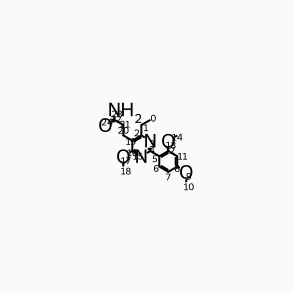 CCc1nc(-c2ccc(OC)cc2OC)nc(OC)c1CCC(N)=O